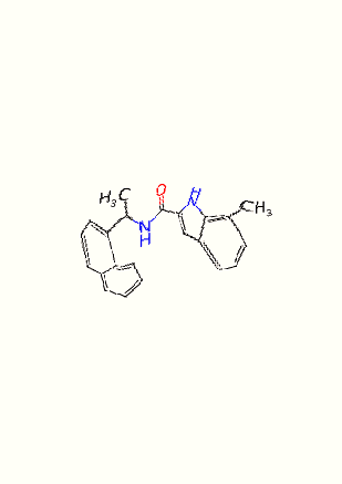 Cc1cccc2cc(C(=O)NC(C)c3cccc4ccccc34)[nH]c12